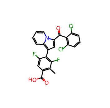 Cc1c(C(=O)O)cc(F)c(-c2cc(C(=O)c3c(Cl)cccc3Cl)n3ccccc23)c1F